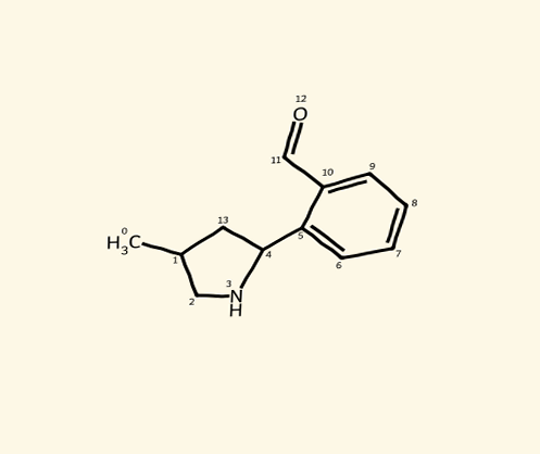 CC1CNC(c2ccccc2C=O)C1